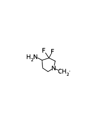 [CH2]N1CCC(N)C(F)(F)C1